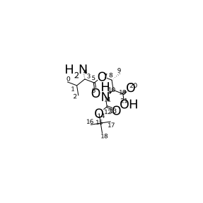 CC(C)[C@H](N)C(=O)O[C@H](C)[C@H](NC(=O)OC(C)(C)C)C(=O)O